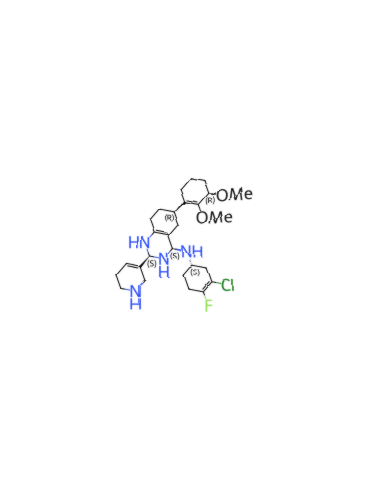 COC1=C([C@@H]2CCC3=C(C2)[C@@H](N[C@H]2CCC(F)=C(Cl)C2)N[C@@H](C2=CCCNC2)N3)CCC[C@H]1OC